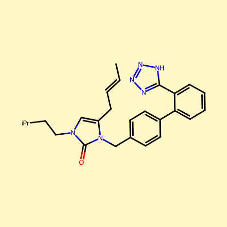 CC=CCc1cn(CCC(C)C)c(=O)n1Cc1ccc(-c2ccccc2-c2nnn[nH]2)cc1